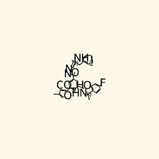 Cc1coc(-c2cc(C(=O)N[C@H](C)c3ccc(F)cc3)cc(-c3nnc([C@](C)(N)Cc4ccccc4)o3)c2)c1C(=O)O